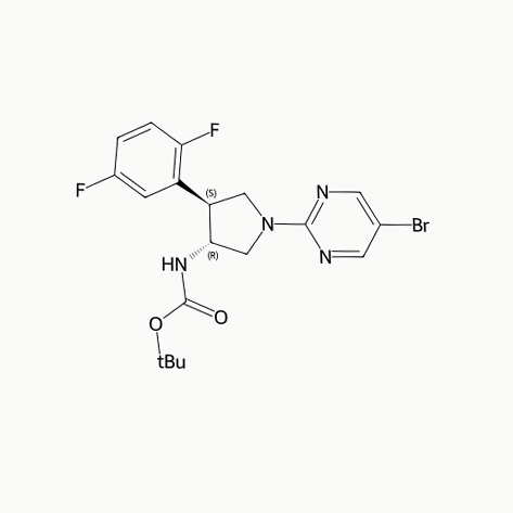 CC(C)(C)OC(=O)N[C@H]1CN(c2ncc(Br)cn2)C[C@@H]1c1cc(F)ccc1F